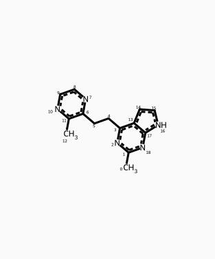 Cc1nc(CCc2nccnc2C)c2cc[nH]c2n1